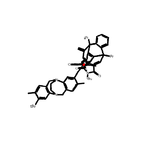 C=C1/C=C2/C(=O)N(C(C)(C)C)C(=O)/C2=C/C2(C(C)C)c3ccccc3C1(C(C)C)c1cc3c(cc12)C(=O)N(c1cc2c(cc1C)CN1CCN2Cc2cc(C)c(C(C)(C)C)cc21)C3=O